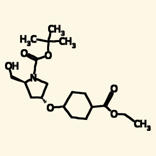 CCOC(=O)C1CCC(O[C@@H]2C[C@@H](CO)N(C(=O)OC(C)(C)C)C2)CC1